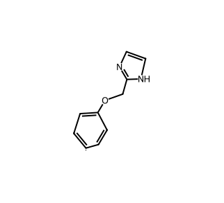 [c]1ccc(OCc2ncc[nH]2)cc1